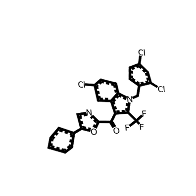 O=C(c1ncc(-c2ccccc2)o1)c1c(C(F)(F)F)n(Cc2ccc(Cl)cc2Cl)c2ccc(Cl)cc12